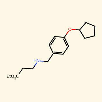 CCOC(=O)CCNCc1ccc(OC2CCCC2)cc1